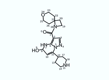 O=C(c1cnn2c1NC(O)C=C2C1CCNCC1)N1CCC12CCOCC2